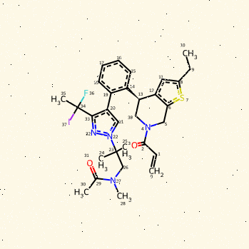 C=CC(=O)N1Cc2sc(CC)cc2[C@H](c2ccccc2-c2cn(C(C)(C)CN(C)C(C)=O)nc2C(C)(F)I)C1